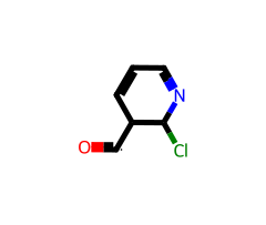 O=[C]C1C=CC=NC1Cl